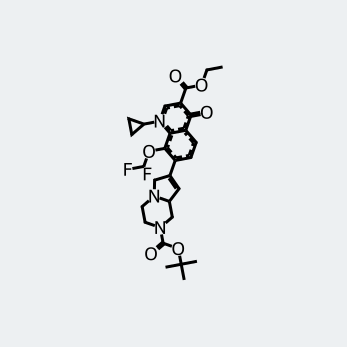 CCOC(=O)c1cn(C2CC2)c2c(OC(F)F)c(C3=CC4CN(C(=O)OC(C)(C)C)CCN4C3)ccc2c1=O